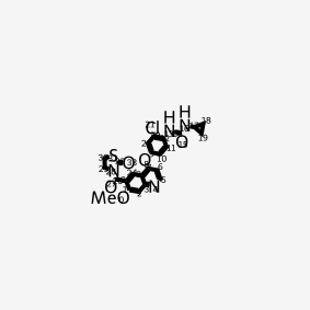 COc1cc2nccc(Oc3ccc(NC(=O)NC4CC4)c(Cl)c3)c2cc1C(=O)N1CCSC1=O